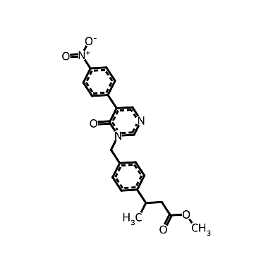 COC(=O)CC(C)c1ccc(Cn2cncc(-c3ccc([N+](=O)[O-])cc3)c2=O)cc1